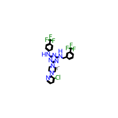 C[C@@H]1CN(c2ncccc2Cl)CCN1c1nc(NCc2cccc(C(F)(F)F)c2)nc(Nc2ccc(C(F)(F)F)cc2)n1